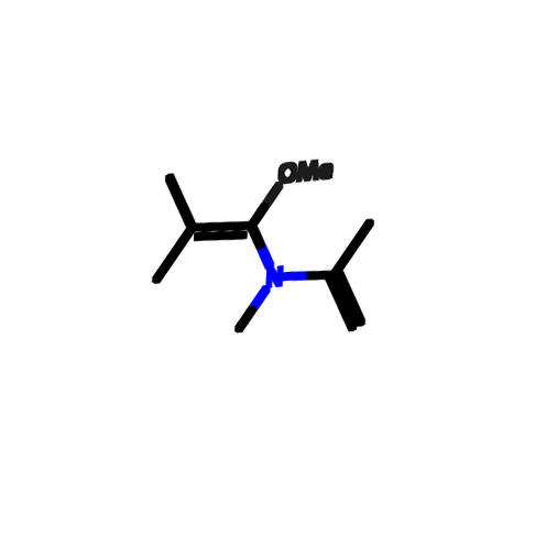 C=C(C)N(C)C(OC)=C(C)C